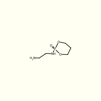 NCCNP1(=O)OCCCO1